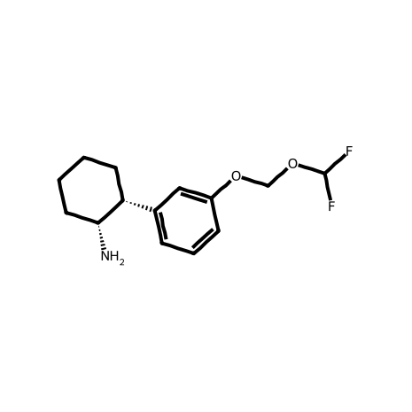 N[C@@H]1CCCC[C@@H]1c1cccc(OCOC(F)F)c1